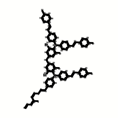 C=C/C=C(C)\C=C/C/C=C/c1ccc(N(c2ccc(/C=C/c3ccc(C)cc3)cc2)c2c(C)cc(Cc3cc(C)c(N(c4ccc(/C=C/c5ccc(C)cc5)cc4)c4ccc(/C=C/c5ccc(C)cc5)cc4)c(CC)c3)cc2CC)cc1